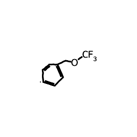 FC(F)(F)OCc1cc[c]cc1